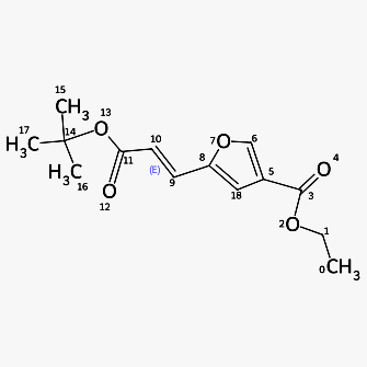 CCOC(=O)c1coc(/C=C/C(=O)OC(C)(C)C)c1